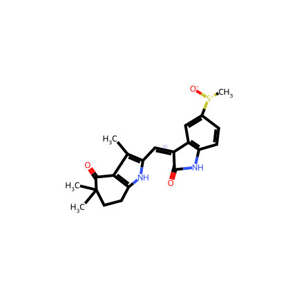 Cc1c(/C=C2\C(=O)Nc3ccc([S+](C)[O-])cc32)[nH]c2c1C(=O)C(C)(C)CC2